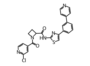 O=C(Nc1nc(-c2cccc(-c3ccncc3)c2)cs1)C1CCN1C(=O)c1ccnc(Cl)c1